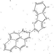 c1cc2ccc3cc(-c4ccc5sc6ccccc6c5c4)cc4ccc(c1)c2c34